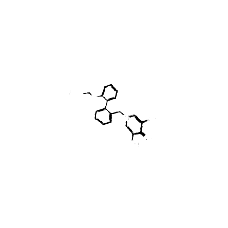 CCOc1ccccc1-c1ccccc1Cn1cc(O)c(=O)c(O)c1